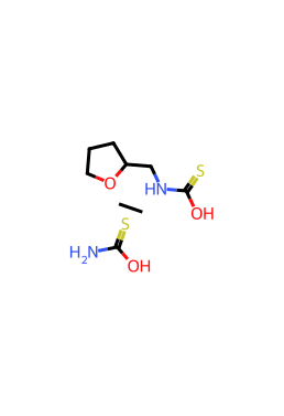 CC.NC(O)=S.OC(=S)NCC1CCCO1